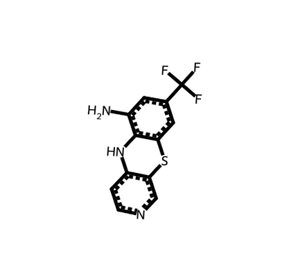 Nc1cc(C(F)(F)F)cc2c1Nc1ccncc1S2